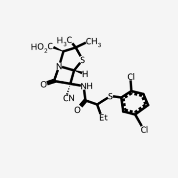 CCC(Sc1cc(Cl)ccc1Cl)C(=O)N[C@@]1(C#N)C(=O)N2[C@@H](C(=O)O)C(C)(C)S[C@@H]21